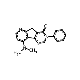 CN(C)c1ccnc2c1-c1ncn(-c3ccccc3)c(=O)c1C2